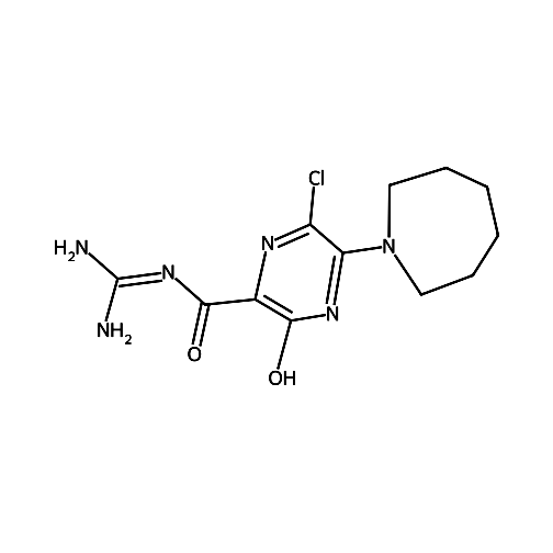 NC(N)=NC(=O)c1nc(Cl)c(N2CCCCCC2)nc1O